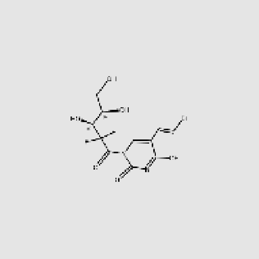 O=C(n1cc(C=CBr)c(O)nc1=O)C(F)(F)[C@@H](O)[C@H](O)CO